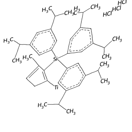 CC1=CC[C]([Ti])=C1[Si](c1cc(C(C)C)cc(C(C)C)c1)(c1cc(C(C)C)cc(C(C)C)c1)c1cc(C(C)C)cc(C(C)C)c1.Cl.Cl.Cl